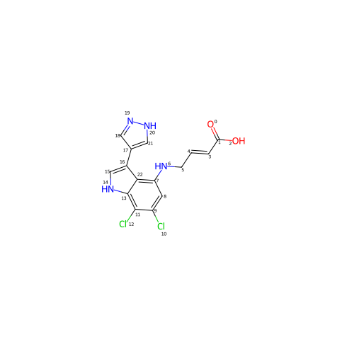 O=C(O)/C=C/CNc1cc(Cl)c(Cl)c2[nH]cc(-c3cn[nH]c3)c12